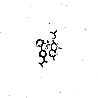 COc1nc(C)cnc1N(C(=O)OCC(C)C)S(=O)(=O)c1cccnc1-c1ccc(C(=O)C(C)C)cc1